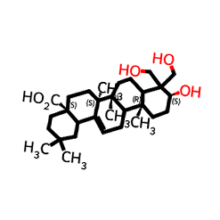 CC1(C)CC[C@]2(C(=O)O)CC[C@]3(C)C(=CCC4[C@@]5(C)CC[C@H](O)C(CO)(CO)C5CC[C@]43C)C2C1